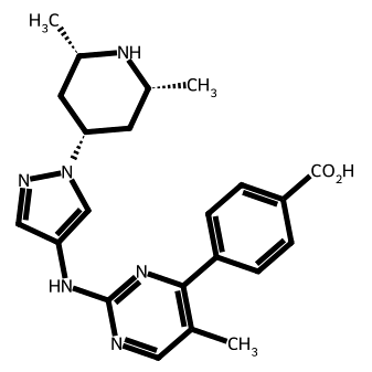 Cc1cnc(Nc2cnn([C@H]3C[C@@H](C)N[C@@H](C)C3)c2)nc1-c1ccc(C(=O)O)cc1